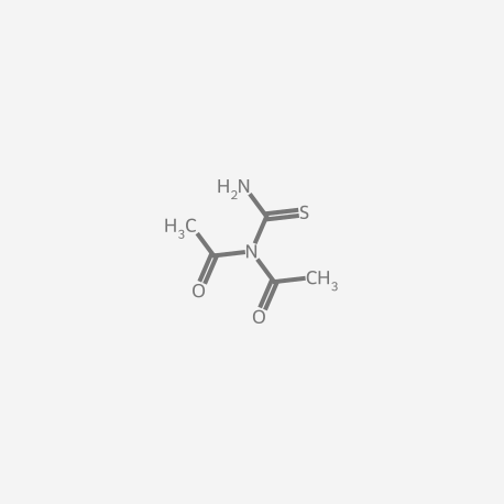 CC(=O)N(C(C)=O)C(N)=S